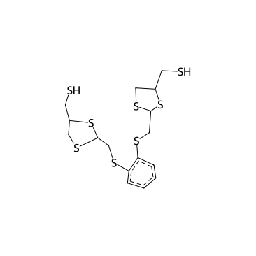 SCC1CSC(CSc2ccccc2SCC2SCC(CS)S2)S1